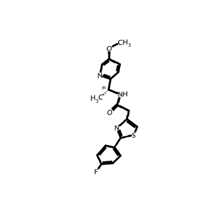 COc1ccc([C@@H](C)NC(=O)Cc2csc(-c3ccc(F)cc3)n2)nc1